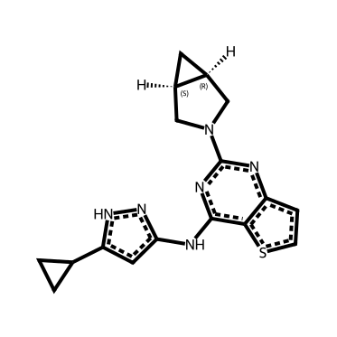 c1cc2nc(N3C[C@H]4C[C@H]4C3)nc(Nc3cc(C4CC4)[nH]n3)c2s1